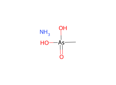 C[As](=O)(O)O.N